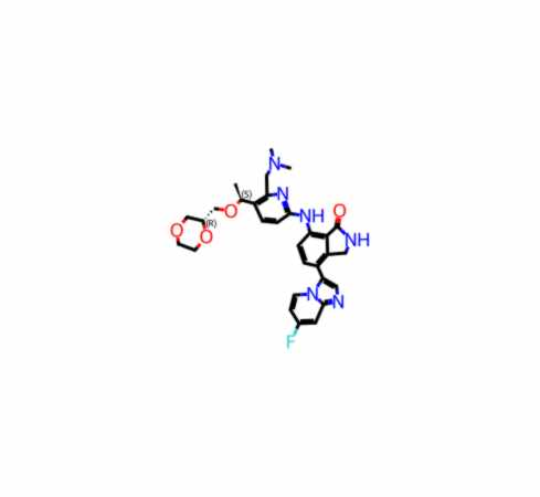 C[C@H](OC[C@H]1COCCO1)c1ccc(Nc2ccc(-c3cnc4cc(F)ccn34)c3c2C(=O)NC3)nc1CN(C)C